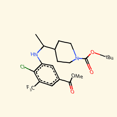 COC(=O)c1cc(NC(C)C2CCN(C(=O)OC(C)(C)C)CC2)c(Cl)c(C(F)(F)F)c1